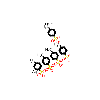 Cc1ccc(S(=O)(=O)[O-])cc1.Cc1ccc(S(=O)(=O)[O-])cc1.Cc1ccc(S(=O)(=O)[O-])cc1.Cc1ccc(S(=O)(=O)[O-])cc1.Cc1ccc(S(=O)(=O)[O-])cc1.[Ag+].[Os+4]